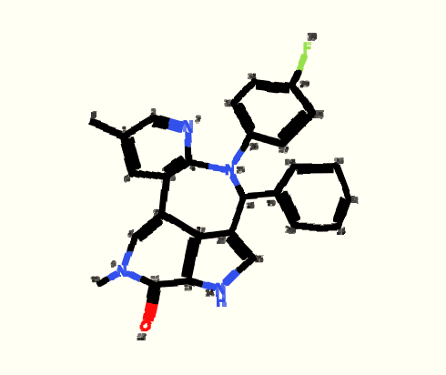 Cc1cnc2c(c1)-c1cn(C)c(=O)c3[nH]cc(c13)C(c1ccccc1)N2c1ccc(F)cc1